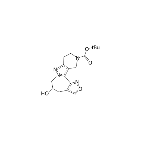 CC(C)(C)OC(=O)N1CCc2nn3c(c2C1)-c1nocc1CC(O)C3